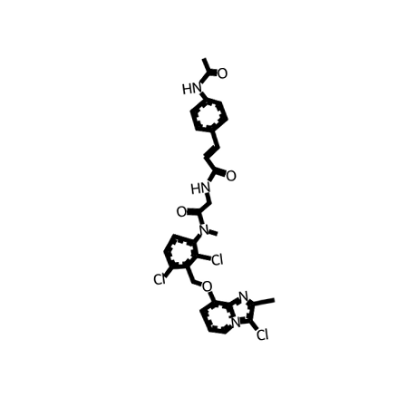 CC(=O)Nc1ccc(/C=C/C(=O)NCC(=O)N(C)c2ccc(Cl)c(COc3cccn4c(Cl)c(C)nc34)c2Cl)cc1